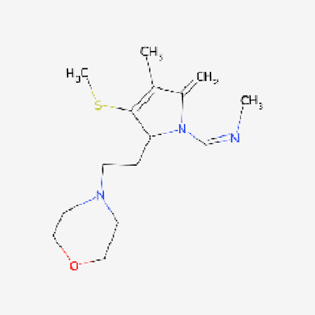 C=C1C(C)=C(SC)C(CCN2CCOCC2)N1/C=N\C